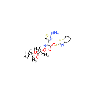 CC(C)(C)OC(=O)C(C)(C)O/N=C(\C(=O)OSc1nc2ccccc2s1)c1csc(N)n1